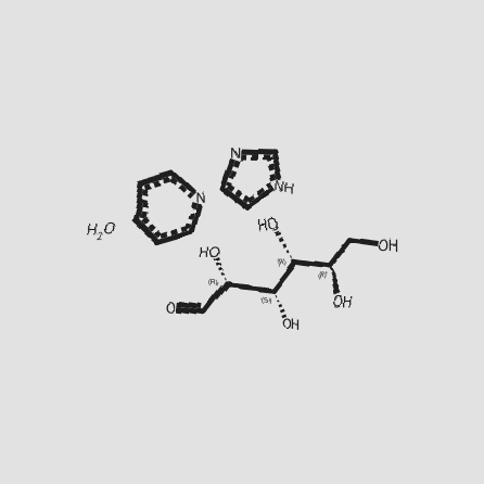 O.O=C[C@H](O)[C@@H](O)[C@H](O)[C@H](O)CO.c1c[nH]cn1.c1ccncc1